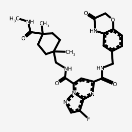 CNC(=O)C1(C)CCC(C)(CNC(=O)c2cc(C(=O)NCc3ccc4c(c3)NC(=O)CO4)nc3c(F)cnn23)CC1